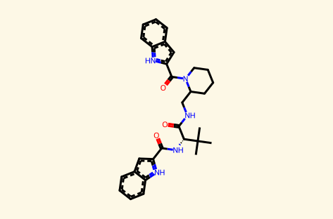 CC(C)(C)[C@H](NC(=O)c1cc2ccccc2[nH]1)C(=O)NCC1CCCCN1C(=O)c1cc2ccccc2[nH]1